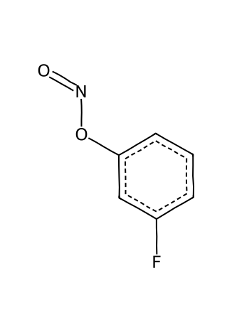 O=NOc1cccc(F)c1